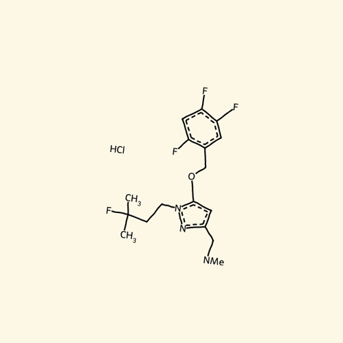 CNCc1cc(OCc2cc(F)c(F)cc2F)n(CCC(C)(C)F)n1.Cl